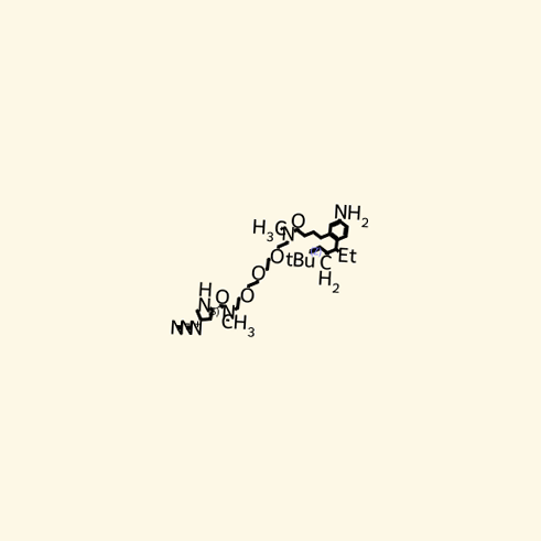 C=C(/C=C\C(C)(C)C)C(CC)c1ccc(N)cc1CCCC(=O)N(C)CCOCCOCCOCCN(C)C(=O)[C@@H]1CC(N=[N+]=[N-])CN1